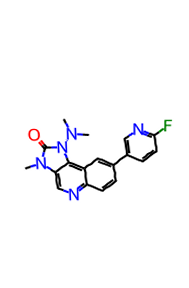 CN(C)n1c(=O)n(C)c2cnc3ccc(-c4ccc(F)nc4)cc3c21